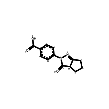 O=C(O)c1ccc(N2N=C3CCCC3C2=O)cc1